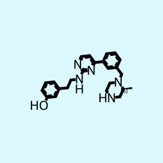 C[C@H]1CNCCN1Cc1cccc(-c2ccnc(NCCc3cccc(O)c3)n2)c1